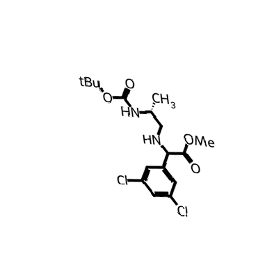 COC(=O)C(NC[C@@H](C)NC(=O)OC(C)(C)C)c1cc(Cl)cc(Cl)c1